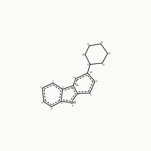 c1ccc2c(c1)[nH]c1ccc([C]3CCCCC3)cc12